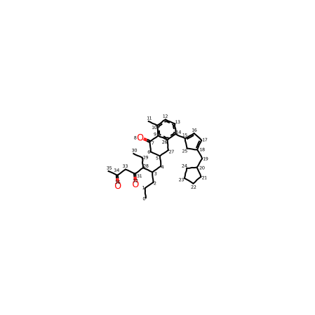 CCCC(CC1CC(=O)c2c(C)ccc(C3=CC=C(CC4CCCC4)C3)c2C1)C(CC)C(=O)CC(C)=O